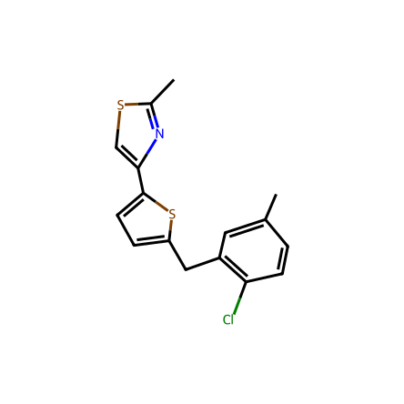 Cc1ccc(Cl)c(Cc2ccc(-c3csc(C)n3)s2)c1